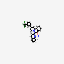 O=C(C1CCCCC1)C(C1CCc2ccccc2N1)N1CCC(c2cccc(C(F)(F)F)c2)CC1